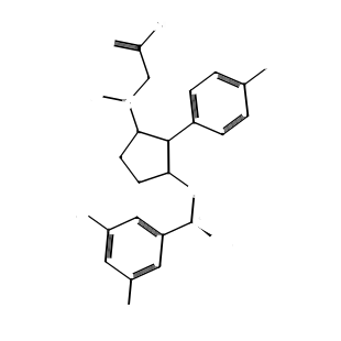 C[C@H](OC1CCC(N(C)CC(N)=O)C1c1ccc(F)cc1)c1cc(C(F)(F)F)cc(C(F)(F)F)c1